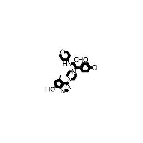 C[C@@H]1C[C@@H](O)c2ncnc(N3CCN(C(c4ccc(Cl)cc4)C(C=O)NC4CCOCC4)CC3)c21